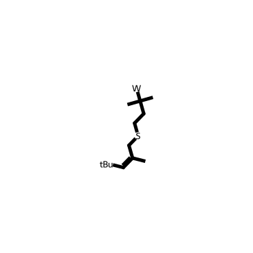 C/C(=C/C(C)(C)C)CSCC[C](C)(C)[W]